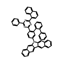 c1ccc(-c2nc(-c3ccc(-n4c5cc6ccccc6cc5c5cc6ccccc6cc54)cc3-c3ccccc3-c3ccccc3)nc(-c3cccc4ccccc34)n2)cc1